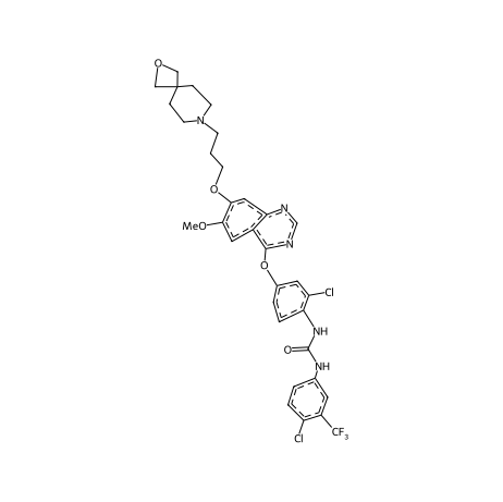 COc1cc2c(Oc3ccc(NC(=O)Nc4ccc(Cl)c(C(F)(F)F)c4)c(Cl)c3)ncnc2cc1OCCCN1CCC2(CC1)COC2